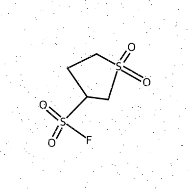 O=S1(=O)CCC(S(=O)(=O)F)C1